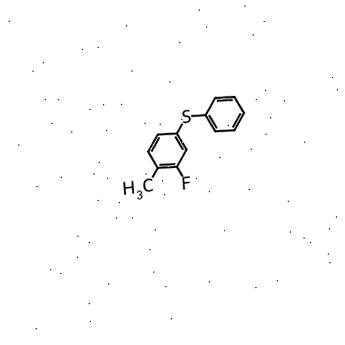 Cc1ccc(Sc2ccccc2)cc1F